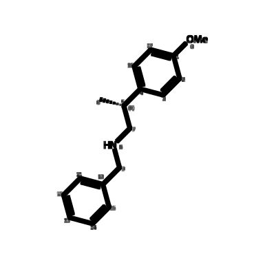 COc1ccc([C@@H](C)CNCc2ccccc2)cc1